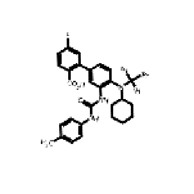 [2H]C([2H])(C(C)C)N(c1ccc(-c2cc(F)ccc2C(=O)O)cc1NC(=O)Nc1ccc(C)cc1)C1CCCCC1